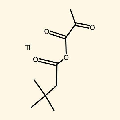 CC(=O)C(=O)OC(=O)CC(C)(C)C.[Ti]